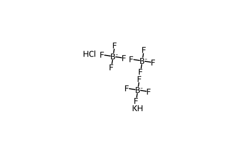 Cl.F[B-](F)(F)F.F[B-](F)(F)F.F[B-](F)(F)F.[KH]